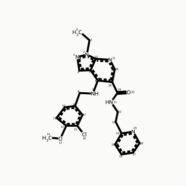 CCn1ncc2c(NCc3ccc(OC)c(Cl)c3)c(C(=O)NCCc3ccccn3)cnc21